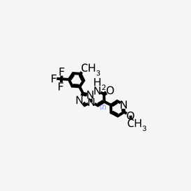 COc1ccc(/C(=C/n2cnc(-c3cc(C)cc(C(F)(F)F)c3)n2)C(N)=O)cn1